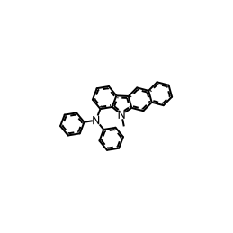 Cn1c2cc3ccccc3cc2c2cccc(N(c3ccccc3)c3ccccc3)c21